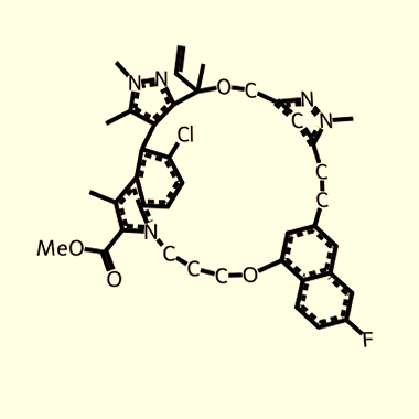 C=CC1(C)OCc2cc(n(C)n2)CCc2cc(c3ccc(F)cc3c2)OCCCn2c(C(=O)OC)c(C)c3c(c(Cl)ccc32)-c2c1nn(C)c2C